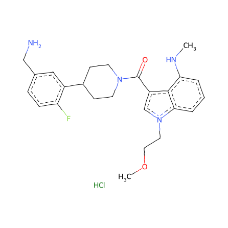 CNc1cccc2c1c(C(=O)N1CCC(c3cc(CN)ccc3F)CC1)cn2CCOC.Cl